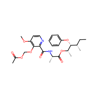 CC[C@H](C)[C@@H](Oc1ccccc1)[C@H](C)OC(=O)[C@H](C)NC(=O)c1nccc(OC)c1OCOC(C)=O